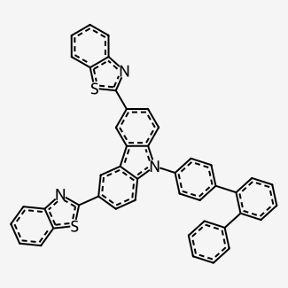 c1ccc(-c2ccccc2-c2ccc(-n3c4ccc(-c5nc6ccccc6s5)cc4c4cc(-c5nc6ccccc6s5)ccc43)cc2)cc1